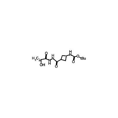 C[C@@H](O)C(=O)NNC(=O)C1CC(NC(=O)OC(C)(C)C)C1